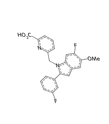 COc1cc2cc(-c3cccc(F)c3)n(Cc3cccc(C(=O)O)n3)c2cc1F